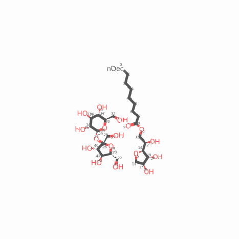 CCCCCCCCCCCCCCCCCC(=O)OC[C@@H](O)[C@H]1OC[C@H](O)[C@H]1O.OC[C@H]1O[C@@](CO)(O[C@H]2O[C@H](CO)[C@@H](O)[C@H](O)[C@H]2O)[C@@H](O)[C@@H]1O